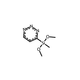 CO[Si](C)(OC)c1ccnnn1